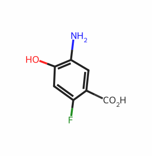 Nc1cc(C(=O)O)c(F)cc1O